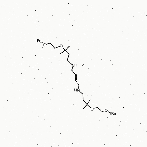 CC(C)(C)OCCOC(C)(C)CCNC/C=C/CNCCC(C)(C)OCCOC(C)(C)C